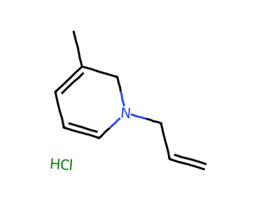 C=CCN1C=CC=C(C)C1.Cl